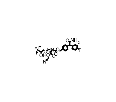 N#CCOC(=O)[C@H](COCC(O)C(F)(F)F)NC(=O)OCc1ccc(C(C(N)=O)c2ccc(F)cc2)cc1